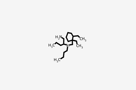 CCC[CH2][In]([CH2]C1(CC)CCCCC1CC)[CH](CN)CCC